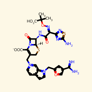 CC(C)(O/N=C(\C(=O)N[C@@H]1C(=O)N2C(C(=O)[O-])=C(C[n+]3ccc4ccn(Cc5cc(C(=N)N)co5)c4c3)CS[C@H]12)c1nsc(N)n1)C(=O)O